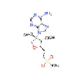 CNS(=O)(=O)CC[C@H]1OC[C@](OC)(n2cnc3c(N)ncnc32)[C@@H]1OC